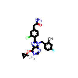 CC1(Oc2ncnc3c2nc(-c2ccc(CC(N)=O)cc2Cl)n3Cc2ccc(F)cc2C#N)CC1